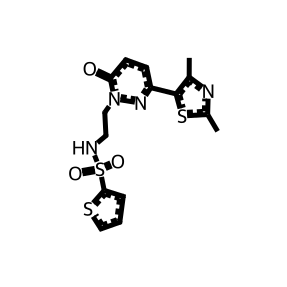 Cc1nc(C)c(-c2ccc(=O)n(CCNS(=O)(=O)c3cccs3)n2)s1